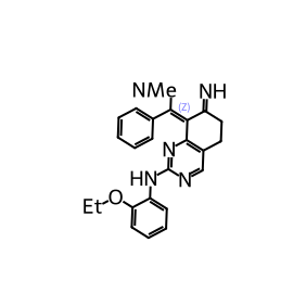 CCOc1ccccc1Nc1ncc2c(n1)/C(=C(/NC)c1ccccc1)C(=N)CC2